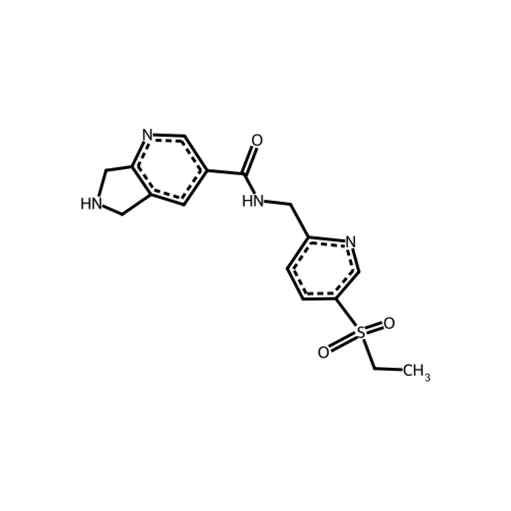 CCS(=O)(=O)c1ccc(CNC(=O)c2cnc3c(c2)CNC3)nc1